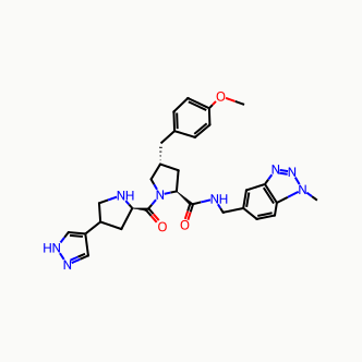 COc1ccc(C[C@@H]2C[C@@H](C(=O)NCc3ccc4c(c3)nnn4C)N(C(=O)[C@H]3CC(c4cn[nH]c4)CN3)C2)cc1